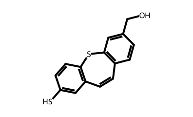 OCc1ccc2c(c1)Sc1ccc(S)cc1C=C2